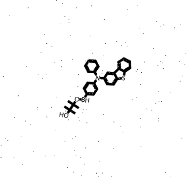 CC(C)(O)C(C)(C)OBc1ccc(N(c2ccccc2)c2ccc3sc4ccccc4c3c2)cc1